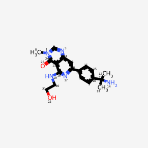 Cn1cnc2cc(-c3ccc(C(C)(C)N)cc3)nc(NCCO)c2c1=O